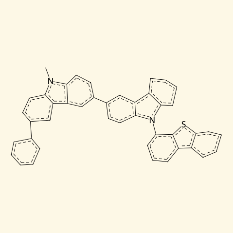 Cn1c2ccc(-c3ccccc3)cc2c2cc(-c3ccc4c(c3)c3ccccc3n4-c3cccc4c3sc3ccccc34)ccc21